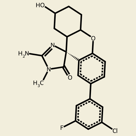 CN1C(=O)[C@]2(N=C1N)c1cc(-c3cc(F)cc(Cl)c3)ccc1OC1CCC(O)CC12